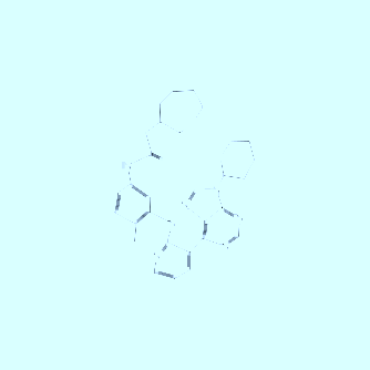 Cc1ccc(NC(=O)CC2CCCCOC2)cc1Nc1ncccc1-c1ncnc2c1ncn2C1CCCCO1